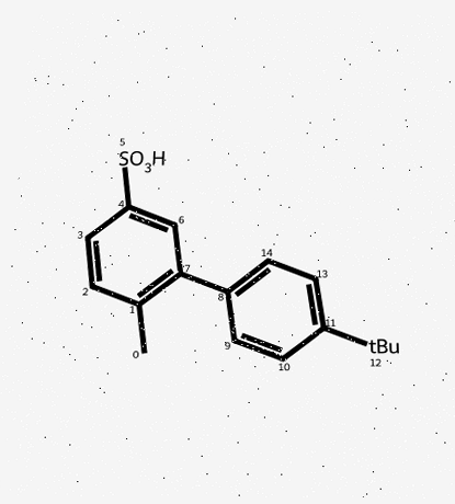 Cc1ccc(S(=O)(=O)O)cc1-c1ccc(C(C)(C)C)cc1